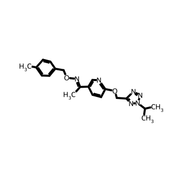 C/C(=N\OCc1ccc(C)cc1)c1ccc(OCc2nnn(C(C)C)n2)nc1